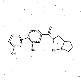 CCN1CCCC1CNC(=O)c1ccc(-c2cccc(O)c2)c([N+](=O)[O-])c1